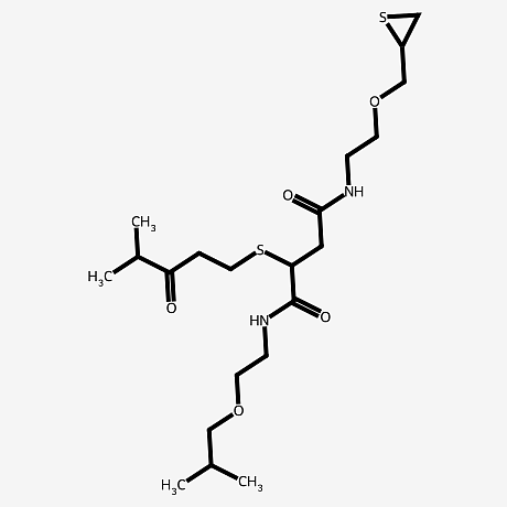 CC(C)COCCNC(=O)C(CC(=O)NCCOCC1CS1)SCCC(=O)C(C)C